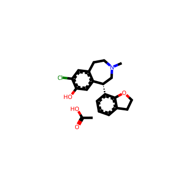 CC(=O)O.CN1CCc2cc(Cl)c(O)cc2[C@@H](c2cccc3c2OCC3)C1